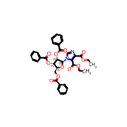 CCOC(=O)c1ncn([C@H]2O[C@@H](COC(=O)c3ccccc3)[C@H](OC(=O)c3ccccc3)[C@@H]2OC(=O)c2ccccc2)c1C(=O)OCC